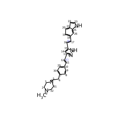 CN1CCN(CCc2ccc(/C=C/c3cc(/C=C/c4ccc5cc[nH]c5c4)[nH]n3)cc2)CC1